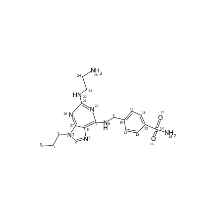 CCCn1cnc2c(NCc3ccc(S(N)(=O)=O)cc3)nc(NCCN)nc21